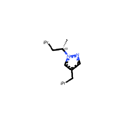 CC(C)Cc1cnn([C@@H](C)CC(C)C)c1